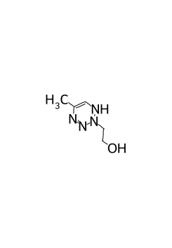 CC1=CNN(CCO)N=N1